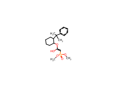 COP(=O)(/C=C(\O)OC1CCCCC1C(C)(C)c1ccccc1)OC